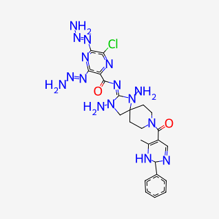 CC1=C(C(=O)N2CCC3(CC2)CN(N)/C(=N\C(=O)c2nc(Cl)c(N=NN)nc2N=NN)N3N)C=NC(c2ccccc2)N1